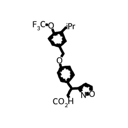 CC(C)c1cc(COc2ccc(C(CC(=O)O)c3ccon3)cc2)ccc1OC(F)(F)F